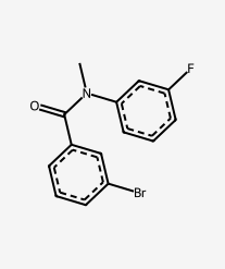 CN(C(=O)c1cccc(Br)c1)c1cccc(F)c1